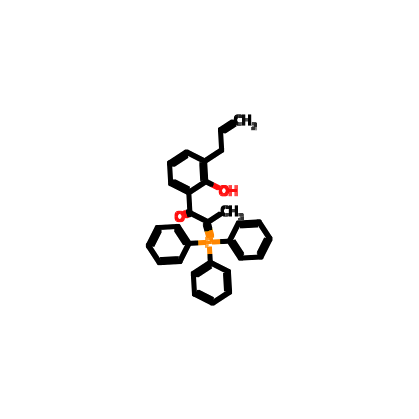 C=CCc1cccc(C(=O)C(C)=P(c2ccccc2)(c2ccccc2)c2ccccc2)c1O